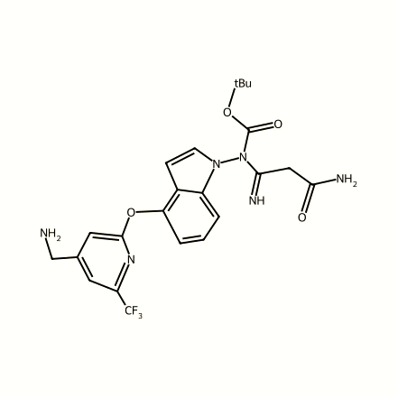 CC(C)(C)OC(=O)N(C(=N)CC(N)=O)n1ccc2c(Oc3cc(CN)cc(C(F)(F)F)n3)cccc21